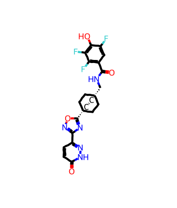 O=C(NC[C@]12CC[C@](c3nc(-c4ccc(=O)[nH]n4)no3)(CC1)CC2)c1cc(F)c(O)c(F)c1F